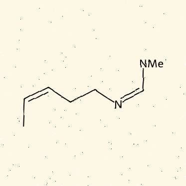 C/C=C\CC/N=C\NC